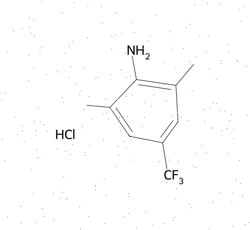 Cc1cc(C(F)(F)F)cc(C)c1N.Cl